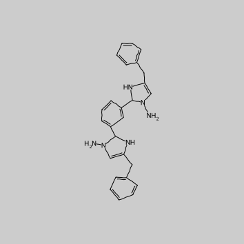 NN1C=C(Cc2ccccc2)NC1c1cccc(C2NC(Cc3ccccc3)=CN2N)c1